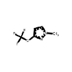 Cn1c[c]c(OC(F)(F)F)n1